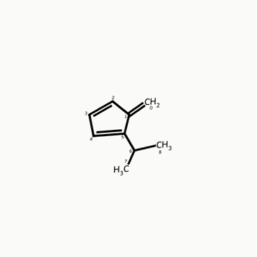 C=C1C=CC=C1C(C)C